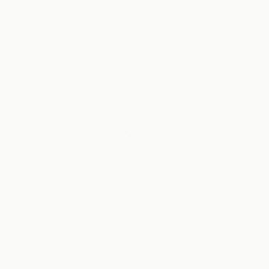 O=C(c1ccccc1)c1c2ccccc2cc2cccc(CSc3ccccc3)c12